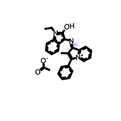 CC(=O)[O-].CCn1c(O)c(/N=C2\C(C)=C(c3ccccc3)[n+]3ccccc32)c2ccccc21